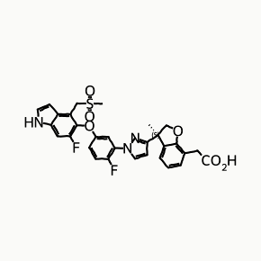 C[C@]1(c2ccn(-c3cc(Oc4c(F)cc5[nH]ccc5c4CS(C)(=O)=O)ccc3F)n2)COc2c(CC(=O)O)cccc21